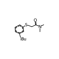 CCC(C)c1cccc(SCC(=O)N(C)C)c1